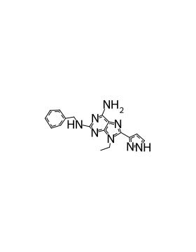 CCn1c(-c2cc[nH]n2)nc2c(N)nc(NCc3ccccc3)nc21